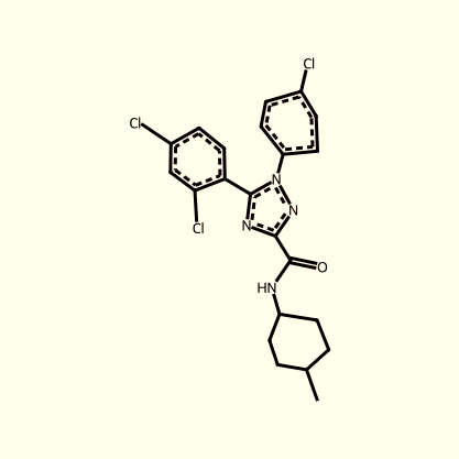 CC1CCC(NC(=O)c2nc(-c3ccc(Cl)cc3Cl)n(-c3ccc(Cl)cc3)n2)CC1